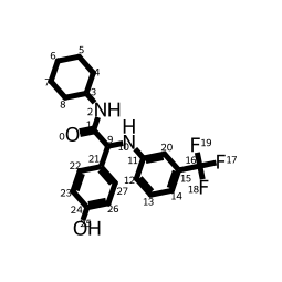 O=C(NC1CCCCC1)C(Nc1cccc(C(F)(F)F)c1)c1ccc(O)cc1